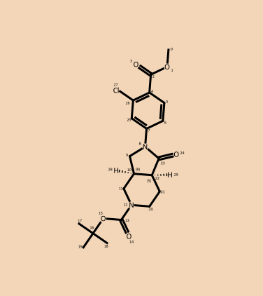 COC(=O)c1ccc(N2C[C@@H]3CN(C(=O)OC(C)(C)C)CC[C@@H]3C2=O)cc1Cl